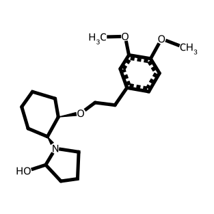 COc1ccc(CCO[C@@H]2CCCC[C@@H]2N2CCCC2O)cc1OC